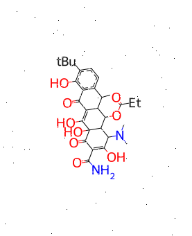 CCC(=O)OC1C2C(=C(O)C3(O)C(=O)C(C(N)=O)=C(O)C(N(C)C)C13)C(=O)c1c(ccc(C(C)(C)C)c1O)C2C